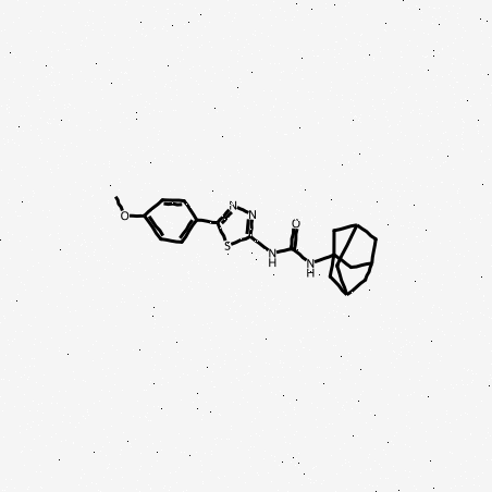 COc1ccc(-c2nnc(NC(=O)NC34CC5CC(CC(C5)C3)C4)s2)cc1